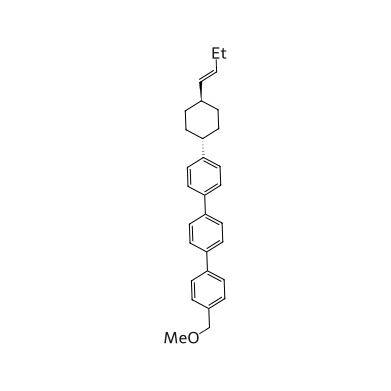 CCC=C[C@H]1CC[C@H](c2ccc(-c3ccc(-c4ccc(COC)cc4)cc3)cc2)CC1